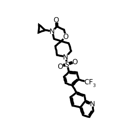 O=C1COC2(CCN(S(=O)(=O)c3ccc(-c4ccc5cccnc5c4)c(C(F)(F)F)c3)CC2)CN1C1CC1